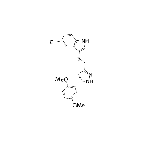 COc1ccc(OC)c(-c2cc(CSc3c[nH]c4ccc(Cl)cc34)n[nH]2)c1